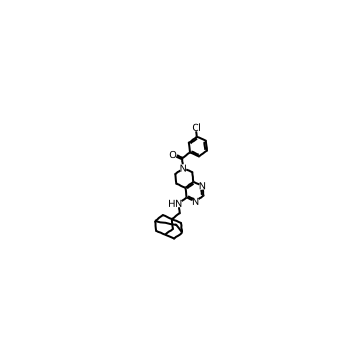 O=C(c1cccc(Cl)c1)N1CCc2c(ncnc2NCC23CC4CC(CC(C4)C2)C3)C1